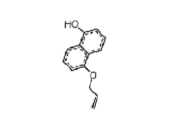 C=CCOc1cccc2c(O)cccc12